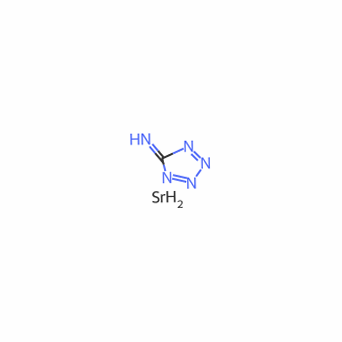 N=C1N=NN=N1.[SrH2]